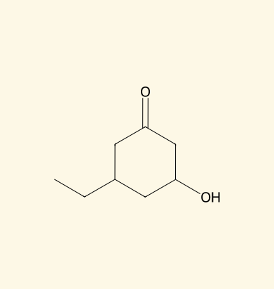 CCC1CC(=O)CC(O)C1